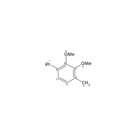 COc1c(C)ccc(C(C)C)c1OC